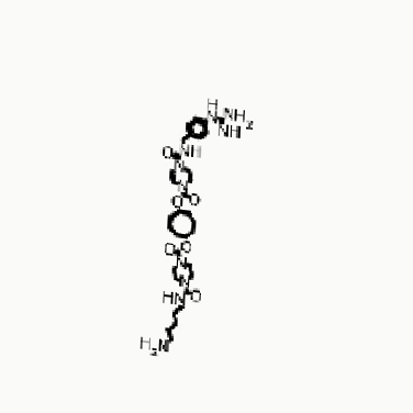 N=C(N)Nc1ccc(CNC(=O)N2CCN(C(=O)O[C@H]3CCC[C@@H](OC(=O)N4CCN(C(=O)NCCCCCN)CC4)CCC3)CC2)cc1